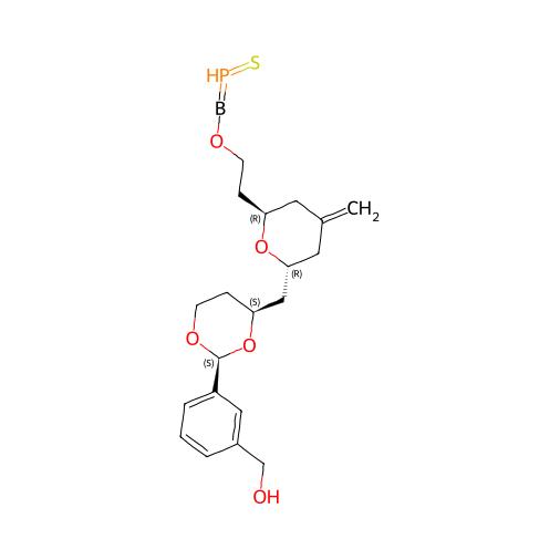 C=C1C[C@H](C[C@@H]2CCO[C@H](c3cccc(CO)c3)O2)O[C@@H](CCOB=[PH]=S)C1